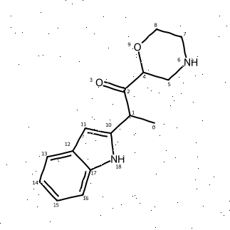 C[C](C(=O)C1CNCCO1)c1cc2ccccc2[nH]1